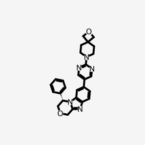 c1ccc([C@H]2COCc3nc4ccc(-c5cnc(N6CCC7(CC6)COC7)nc5)cc4n32)cc1